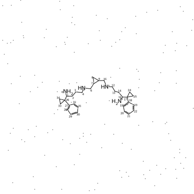 NC(CCCNCC1CC1CNCCCC(N)C1(c2ccccc2)CC1)C1(c2ccccc2)CC1